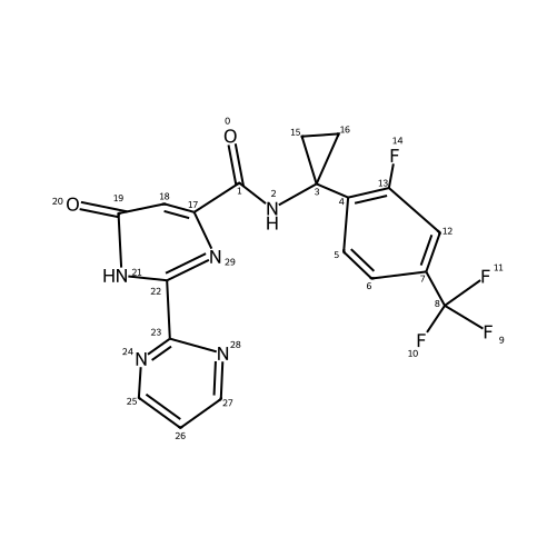 O=C(NC1(c2ccc(C(F)(F)F)cc2F)CC1)c1cc(=O)[nH]c(-c2ncccn2)n1